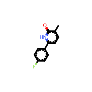 Cc1ccc(-c2ccc(F)cc2)[nH]c1=O